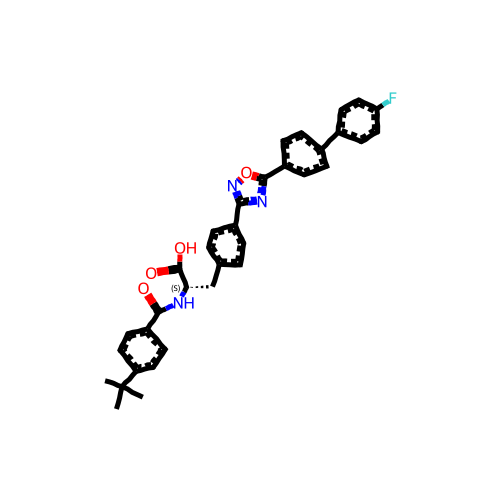 CC(C)(C)c1ccc(C(=O)N[C@@H](Cc2ccc(-c3noc(-c4ccc(-c5ccc(F)cc5)cc4)n3)cc2)C(=O)O)cc1